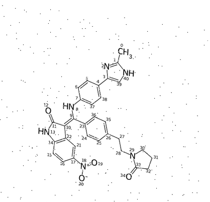 Cc1nc(-c2ccc(N/C(=C3\C(=O)Nc4ccc([N+](=O)[O-])cc43)c3ccc(CCN4CCCC4=O)cc3)cc2)c[nH]1